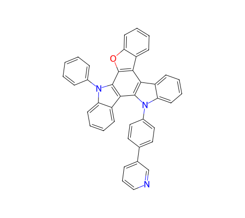 c1ccc(-n2c3ccccc3c3c2c2oc4ccccc4c2c2c4ccccc4n(-c4ccc(-c5cccnc5)cc4)c23)cc1